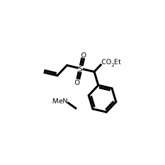 C=CCS(=O)(=O)C(C(=O)OCC)c1ccccc1.CNC